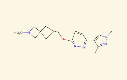 Cc1nn(C)cc1-c1ccc(OCC2CC3(C2)CN(C(=O)O)C3)nn1